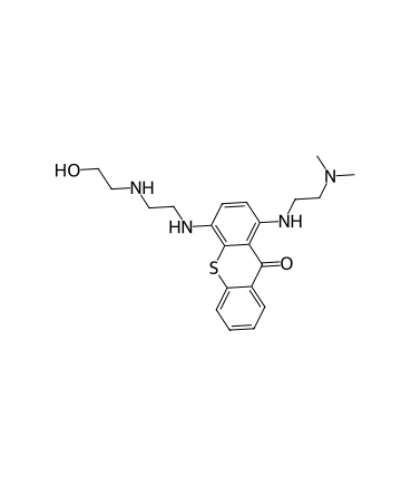 CN(C)CCNc1ccc(NCCNCCO)c2sc3ccccc3c(=O)c12